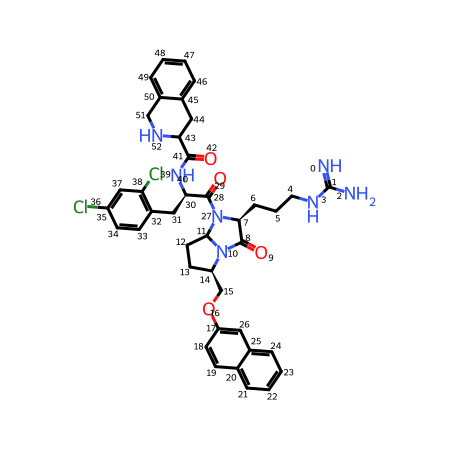 N=C(N)NCCC[C@H]1C(=O)N2C(CC[C@@H]2COc2ccc3ccccc3c2)N1C(=O)[C@@H](Cc1ccc(Cl)cc1Cl)NC(=O)C1Cc2ccccc2CN1